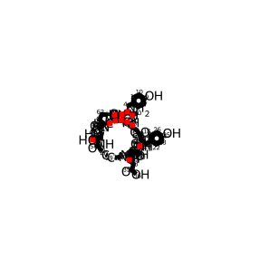 CC(=O)[C@H](Cc1ccc(O)cc1)NC1CCC2C(=O)[C@H](Cc3ccc(O)cc3)NC(=O)[C@H](CCC(=O)O)NC3CCC(N[C@@H]([C@@H](C)O)C(=O)NCC1=O)C(=O)C(C)NC(=O)[C@@H]1CCCN1C(=O)[C@H](CC(N)=O)NC2CSCC(O)(O)C(=O)N3